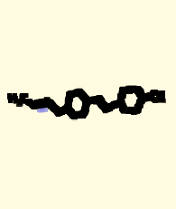 C/C=C/CC1CCC(CCC2CCC(C#N)CC2)CC1